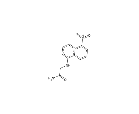 NC(=O)CNc1cccc2c([SH](=O)=O)cccc12